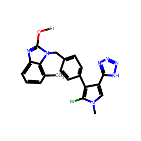 CCOc1nc2cccc(C(=O)O)c2n1Cc1ccc(-c2c(-c3nnn[nH]3)cn(C)c2Br)cc1